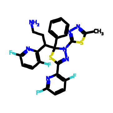 Cc1nnc(N2N=C(c3nc(F)ccc3F)SC2(c2ccccc2)C(CCN)c2nc(F)ccc2F)s1